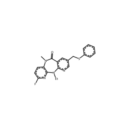 CCN1c2ncc(CSc3ccccc3)cc2C(=O)N(C)c2ccc(F)nc21